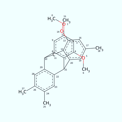 COc1cc(OC)c2c(c1)C1Cc3c(OC)cc(C)cc3C2c2cc(C)c(C)cc21